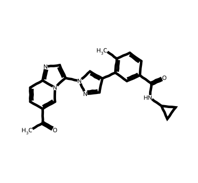 CC(=O)c1ccc2ncc(-n3cc(-c4cc(C(=O)NC5CC5)ccc4C)cn3)n2c1